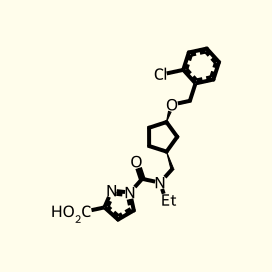 CCN(C[C@H]1CC[C@@H](OCc2ccccc2Cl)C1)C(=O)n1ccc(C(=O)O)n1